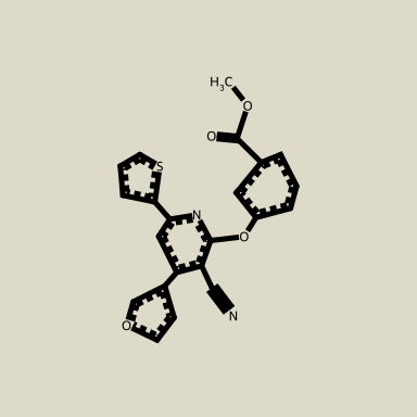 COC(=O)c1cccc(Oc2nc(-c3cccs3)cc(-c3ccoc3)c2C#N)c1